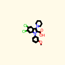 COc1cccc(-n2c(C(=O)O)c(N3CCCCC3)c3cc(Cl)c(Cl)cc32)c1